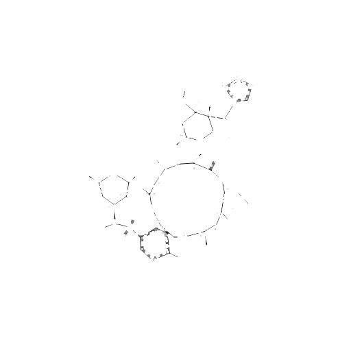 CC[C@H]1OC(=O)[C@H](C)[C@@H](O[C@H]2C[C@@](C)(OC)[C@](O)(Cn3cnnn3)[C@H](C)O2)[C@H](C)[C@@H](O[C@@H]2O[C@H](C)C[C@H](N(C)S(=O)(=O)c3ccc(Cl)cc3)[C@H]2O)[C@](C)(O)C[C@@H](C)CN[C@H](C)[C@@H](O)[C@]1(C)O